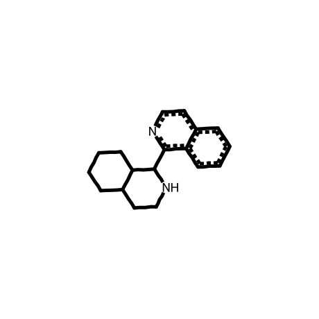 c1ccc2c([C]3NCCC4CCCCC34)nccc2c1